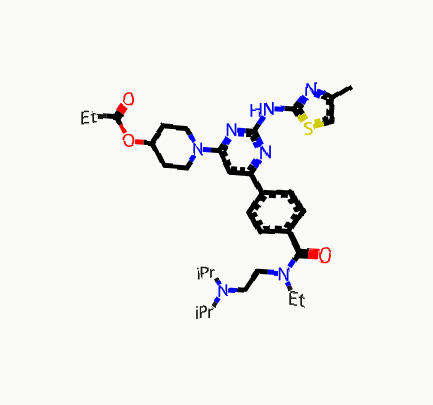 CCC(=O)OC1CCN(c2cc(-c3ccc(C(=O)N(CC)CCN(C(C)C)C(C)C)cc3)nc(Nc3nc(C)cs3)n2)CC1